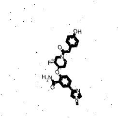 Cn1cnc(-c2ccc(O[C@@H]3CCN(C(=O)Cc4ccc(O)cc4)C[C@H]3F)c(C(N)=O)c2)c1